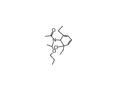 CCCOC(C)N(C(C)=O)C1C(CC)=CC=CC1(Cl)CC